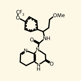 COCCC(NC(=O)N1CC(=O)NC2=C1N=CCC2)c1ccc(OC(F)(F)F)cc1